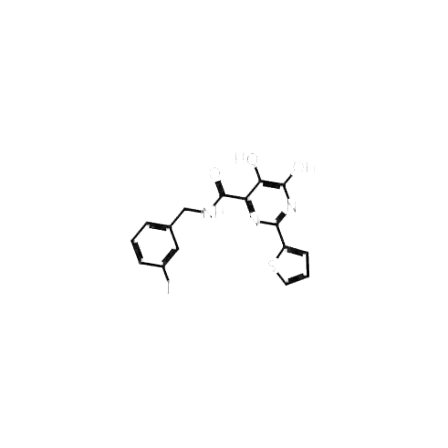 O=C(NCc1cccc(F)c1)c1nc(-c2cccs2)nc(O)c1O